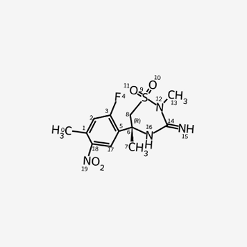 Cc1cc(F)c([C@]2(C)CS(=O)(=O)N(C)C(=N)N2)cc1[N+](=O)[O-]